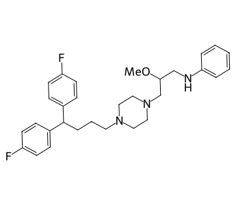 COC(CNc1ccccc1)CN1CCN(CCCC(c2ccc(F)cc2)c2ccc(F)cc2)CC1